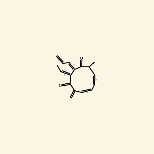 C=C/C=C1/C(=O)C(C)/C=C\C=C/C(=C)C(=O)/C1=C/C